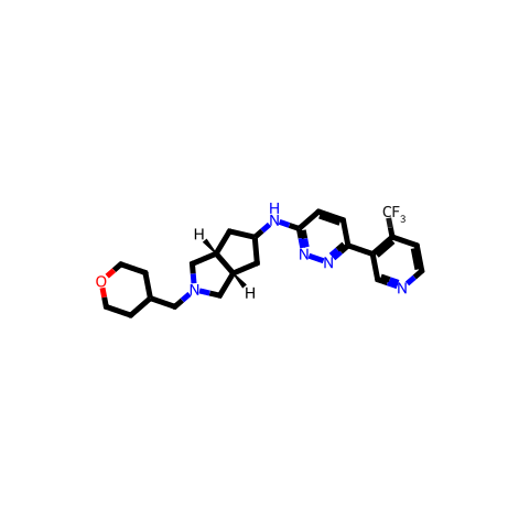 FC(F)(F)c1ccncc1-c1ccc(NC2C[C@@H]3CN(CC4CCOCC4)C[C@@H]3C2)nn1